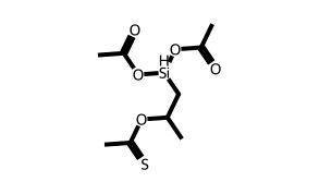 CC(=O)O[SiH](CC(C)OC(C)=S)OC(C)=O